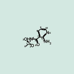 CS(=O)(=O)NC(=O)c1cccnc1N